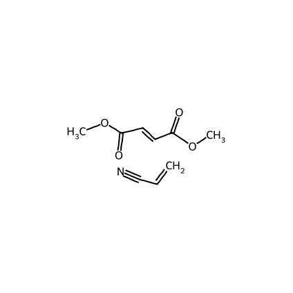 C=CC#N.COC(=O)C=CC(=O)OC